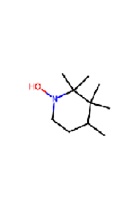 CC1CCN(O)C(C)(C)C1(C)C